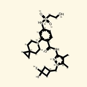 Cc1c(NC(=O)c2ccc(NS(=O)(=O)CCO)cc2N2CCC3(CC2)CC3)nn(CC2CC(F)(F)C2)c1C